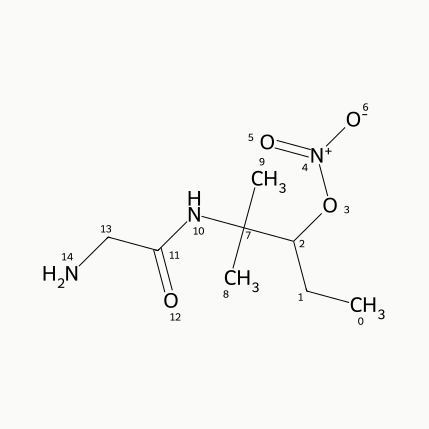 CCC(O[N+](=O)[O-])C(C)(C)NC(=O)CN